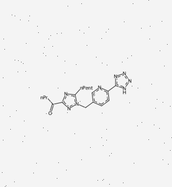 CCCCCc1nc(C(=O)CCC)nn1Cc1ccc(-c2nnn[nH]2)nc1